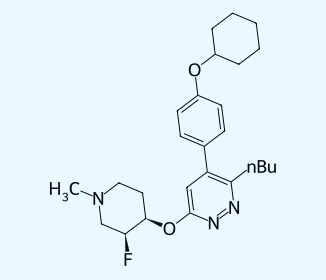 CCCCc1nnc(O[C@@H]2CCN(C)C[C@@H]2F)cc1-c1ccc(OC2CCCCC2)cc1